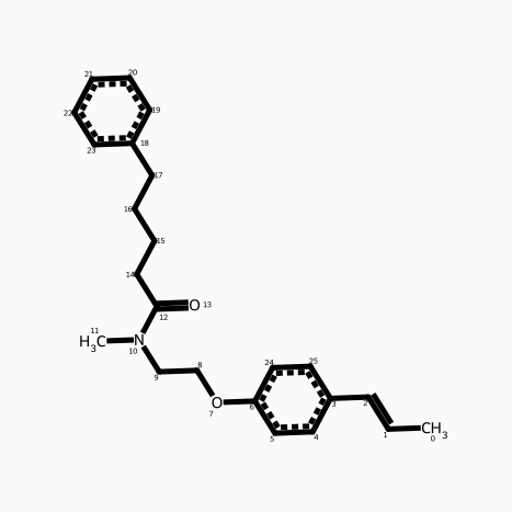 C/C=C/c1ccc(OCCN(C)C(=O)CCCCc2ccccc2)cc1